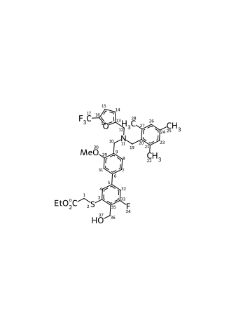 CCOC(=O)CSc1cc(-c2ccc(CN(Cc3ccc(C(F)(F)F)o3)Cc3c(C)cc(C)cc3C)c(OC)c2)cc(F)c1CO